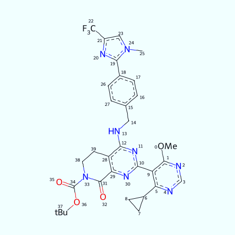 COc1ncnc(C2CC2)c1-c1nc(NCc2ccc(-c3nc(C(F)(F)F)cn3C)cc2)c2c(n1)C(=O)N(C(=O)OC(C)(C)C)CC2